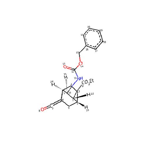 CCOC(=O)[C@@H]1[C@@H]2CC[C@H](C(=C=O)C2)[C@H]1NC(=O)OCc1ccccc1